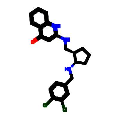 O=c1cc(NC[C@H]2CCC[C@@H]2NCc2ccc(Cl)c(Cl)c2)[nH]c2ccccc12